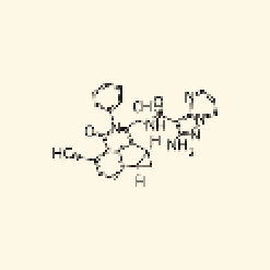 C#Cc1ccc2c3c(c([C@H](C)NC(=O)c4c(N)nn5cccnc45)n(-c4ccccc4)c(=O)c13)[C@H]1C[C@@H]21